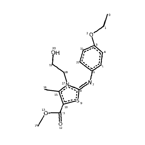 CCOc1ccc(N=c2sc(C(=O)OC)c(C)n2CCO)cc1